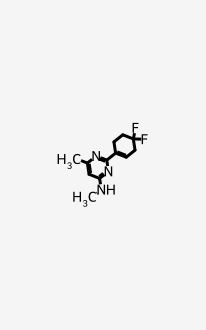 CNc1cc(C)nc(C2=CCC(F)(F)CC2)n1